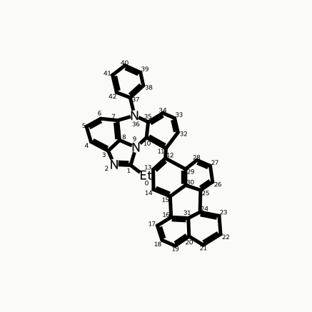 CCc1nc2cccc3c2n1-c1c(-c2ccc4c5cccc6cccc(c7cccc2c74)c65)cccc1N3c1ccccc1